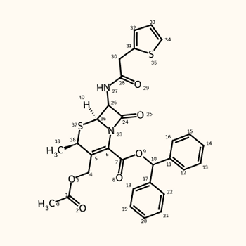 CC(=O)OCC1=C(C(=O)OC(c2ccccc2)c2ccccc2)N2C(=O)C(NC(=O)Cc3cccs3)[C@@H]2S[C@@H]1C